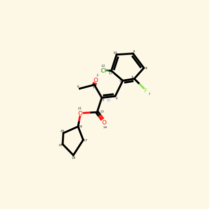 CC(=O)/C(=C\c1c(F)cccc1Cl)C(=O)OC1CCCC1